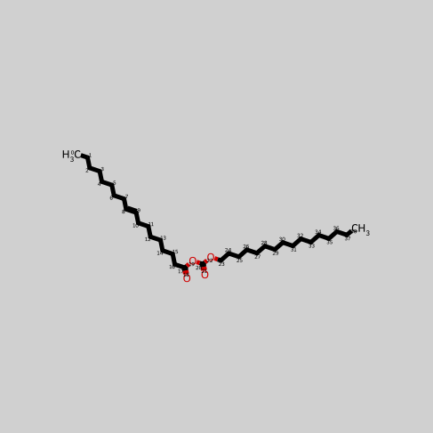 CCCCCCCCC=CCCCCCCCC(=O)OC(=O)OCCCCCCCCCCCCCCCC